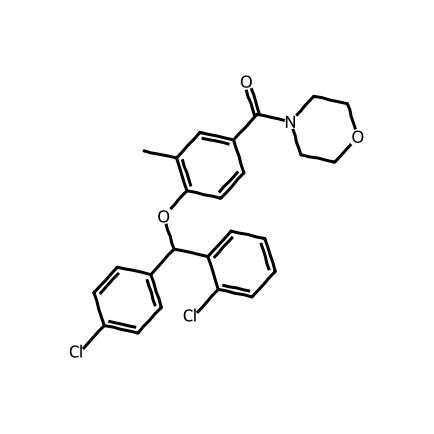 Cc1cc(C(=O)N2CCOCC2)ccc1OC(c1ccc(Cl)cc1)c1ccccc1Cl